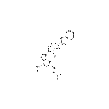 CNc1nc(NC(=O)C(C)C)nc2c1ncn2[C@@H]1O[C@](C)(CO[PH](=O)Oc2ccccc2)[C@@H](O)[C@H]1F